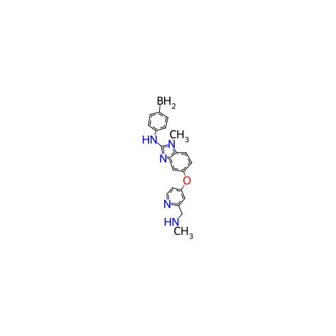 Bc1ccc(Nc2nc3cc(Oc4ccnc(CNC)c4)ccc3n2C)cc1